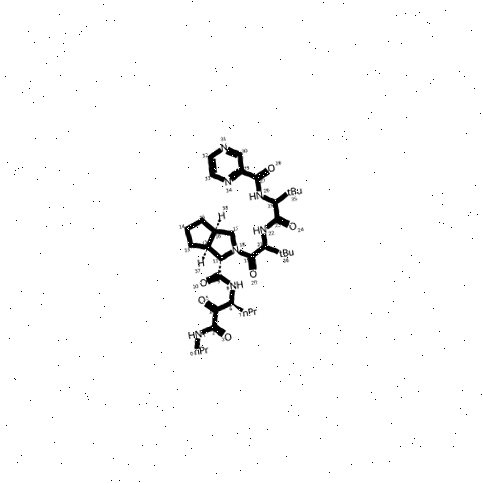 CCCNC(=O)C(=O)[C@H](CCC)NC(=O)[C@@H]1[C@H]2CCC[C@H]2CN1C(=O)C(NC(=O)C(NC(=O)c1cnccn1)C(C)(C)C)C(C)(C)C